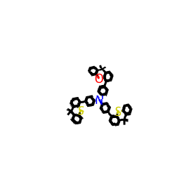 CC1(C)c2ccccc2Oc2c(-c3ccc(N(c4ccc(-c5cccc6c5Sc5ccccc5C6(C)C)cc4)c4ccc(-c5cccc6c5Sc5ccccc5C6(C)C)cc4)cc3)cccc21